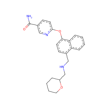 NC(=O)c1ccc(Oc2ccc(CNCC3CCCCO3)c3ccccc23)nc1